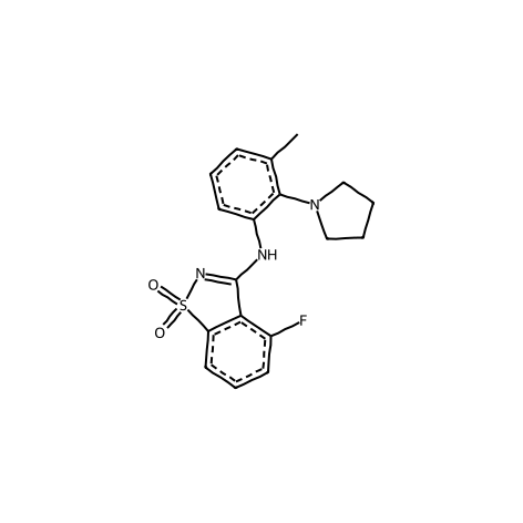 Cc1cccc(NC2=NS(=O)(=O)c3cccc(F)c32)c1N1CCCC1